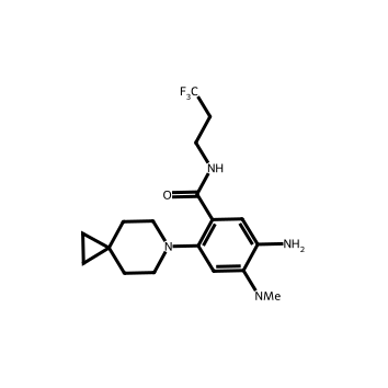 CNc1cc(N2CCC3(CC2)CC3)c(C(=O)NCCC(F)(F)F)cc1N